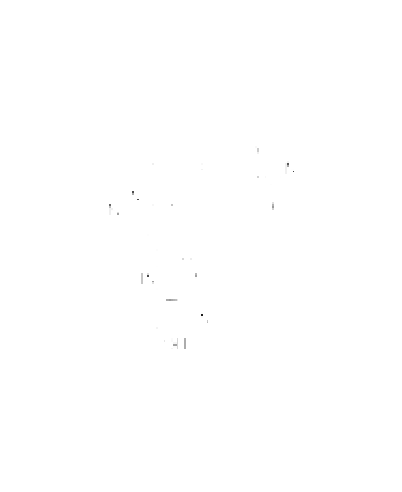 Cc1ncsc1COc1ccn2nc(C)c(C(=O)N[C@@H](CO)C(N)=O)c2c1